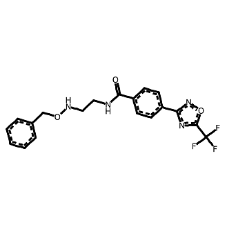 O=C(NCCNOCc1ccccc1)c1ccc(-c2noc(C(F)(F)F)n2)cc1